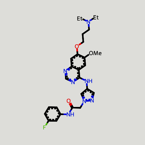 CCN(CC)CCCOc1cc2ncnc(Nc3cnn(CC(=O)Nc4cccc(F)c4)c3)c2cc1OC